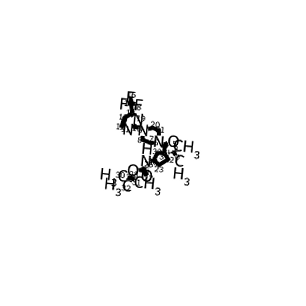 CC(C)[C@]1(C(=O)N2CCN(c3nccc(C(F)(F)F)n3)CC2)CC[C@@H](NC(=O)OC(C)(C)C)C1